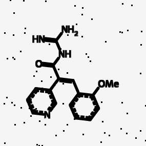 COc1ccccc1/C=C(/C(=O)NC(=N)N)c1cccnc1